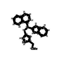 COCc1nc(SN(c2nc3cccnc3s2)c2ncnc3cccnc23)n[nH]1